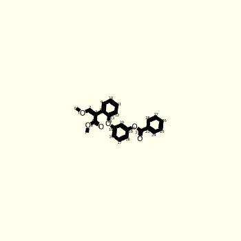 COC=C(C(=O)OC)c1ccccc1Oc1cccc(OC(=O)c2ccccc2)c1